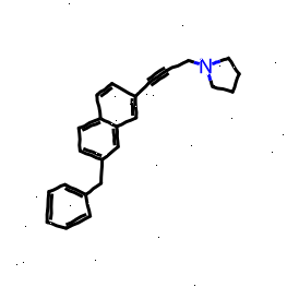 C(#Cc1ccc2ccc(Cc3ccccc3)cc2c1)CN1CCCC1